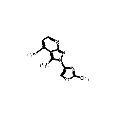 Cc1nc(-n2nc3nccc(N)c3c2C)co1